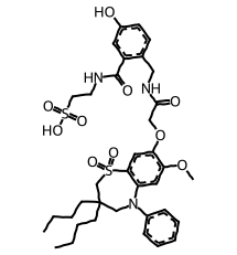 CCCCC1(CCCC)CN(c2ccccc2)c2cc(OC)c(OCC(=O)NCc3ccc(O)cc3C(=O)NCCS(=O)(=O)O)cc2S(=O)(=O)C1